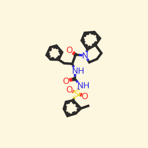 Cc1ccccc1S(=O)(=O)NC(=O)NC(Cc1ccccc1)C(=O)N1CCCc2ccccc21